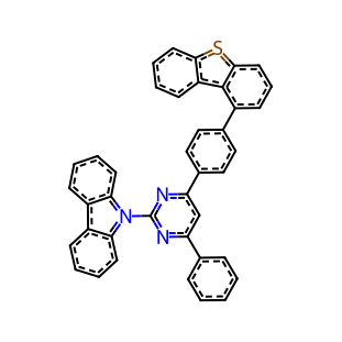 c1ccc(-c2cc(-c3ccc(-c4cccc5sc6ccccc6c45)cc3)nc(-n3c4ccccc4c4ccccc43)n2)cc1